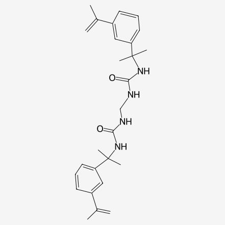 C=C(C)c1cccc(C(C)(C)NC(=O)NCNC(=O)NC(C)(C)c2cccc(C(=C)C)c2)c1